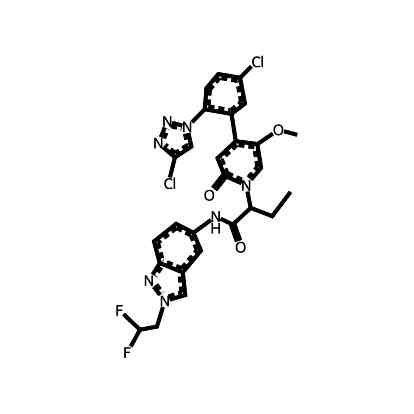 CCC(C(=O)Nc1ccc2nn(CC(F)F)cc2c1)n1cc(OC)c(-c2cc(Cl)ccc2-n2cc(Cl)nn2)cc1=O